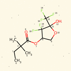 CCC(C)(C)C(=O)OC1COC(O)(C(F)(F)F)C1(F)F